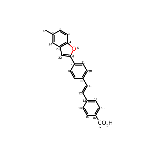 Cc1ccc2oc(-c3ccc(C=Cc4ccc(C(=O)O)cc4)cc3)cc2c1